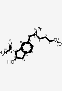 CCOCCCN(Cc1ccc2c(c1)[C@@H](C(N)=O)[C@H](O)C2)C(C)C